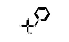 CCCCS(=O)(=O)O[n+]1ccccc1